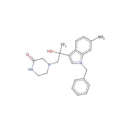 O=C1CN(CC(O)(c2cn(Cc3ccccc3)c3cc([N+](=O)[O-])ccc23)C(F)(F)F)CCN1